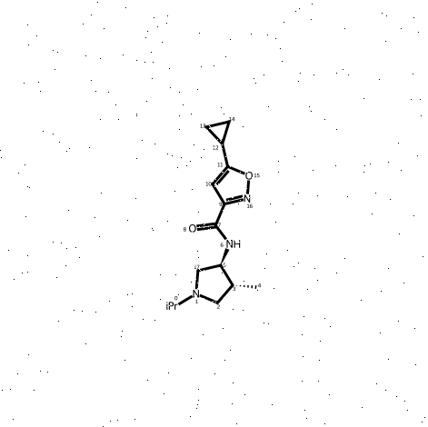 CC(C)N1C[C@@H](C)[C@H](NC(=O)c2cc(C3CC3)on2)C1